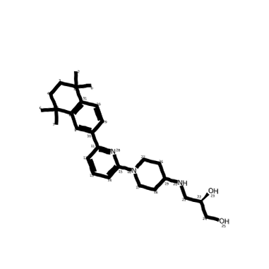 CC1(C)CCC(C)(C)c2cc(-c3cccc(N4CCC(NC[C@@H](O)CO)CC4)n3)ccc21